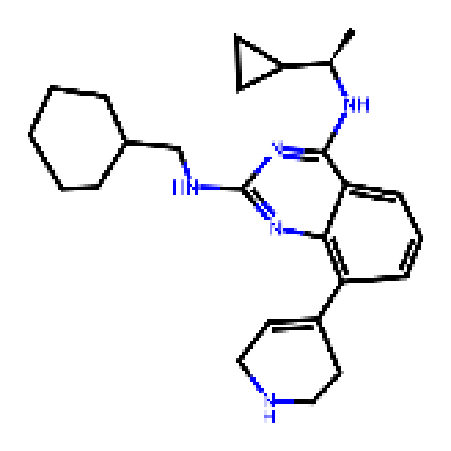 C[C@@H](Nc1nc(NCC2CCCCC2)nc2c(C3=CCNCC3)cccc12)C1CC1